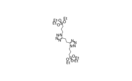 CCO[Si](CCCn1nnnc1CCc1nnnn1CCC[Si](OCC)(OCC)OCC)(OCC)OCC